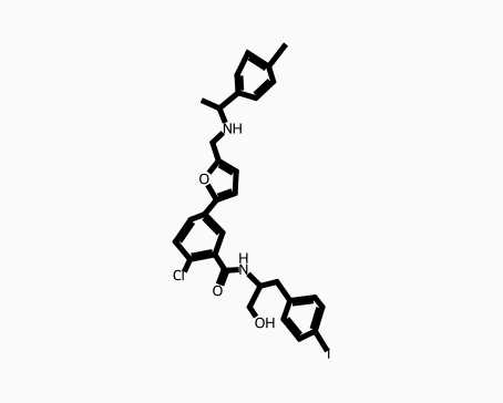 Cc1ccc(C(C)NCc2ccc(-c3ccc(Cl)c(C(=O)NC(CO)Cc4ccc(I)cc4)c3)o2)cc1